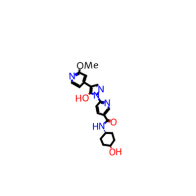 COc1cc(-c2cnn(-c3ccc(C(=O)N[C@H]4CC[C@H](O)CC4)cn3)c2O)ccn1